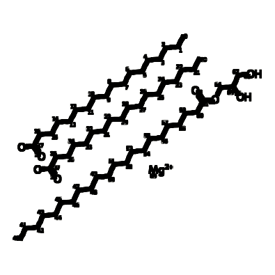 CCCCCCCCCCCCCCCCCC(=O)[O-].CCCCCCCCCCCCCCCCCC(=O)[O-].CCCCCCCCCCCCCCCCCCCCCC(=O)OCC(O)CO.[Mg+2]